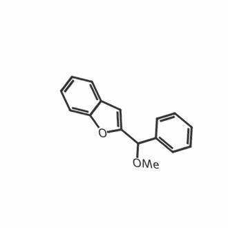 COC(c1ccccc1)c1cc2ccccc2o1